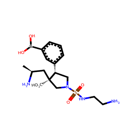 C[C@H](N)C[C@]1(C(=O)O)CN(S(=O)(=O)NCCN)C[C@H]1c1cccc(B(O)O)c1